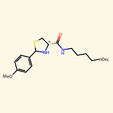 CCCCCCCCCCCCCCNC(=O)[C@H]1CSC(c2ccc(OC)cc2)N1